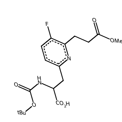 COC(=O)CCc1nc(CC(NC(=O)OC(C)(C)C)C(=O)O)ccc1F